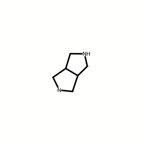 [CH]1NCC2C[N]CC12